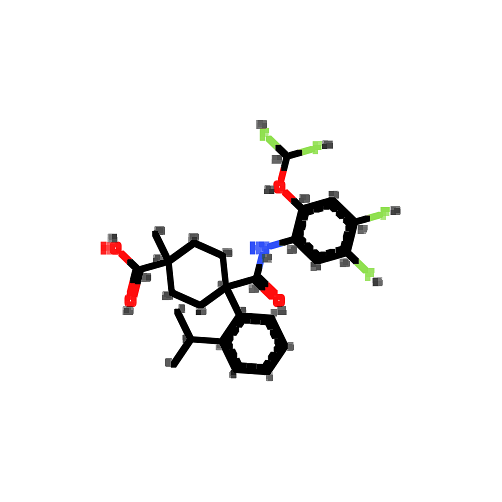 CC(C)c1ccccc1C1(C(=O)Nc2cc(F)c(F)cc2OC(F)F)CCC(C)(C(=O)O)CC1